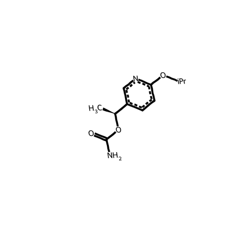 CC(C)Oc1ccc([C@H](C)OC(N)=O)cn1